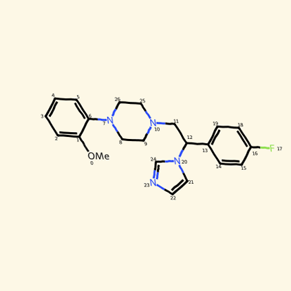 COc1ccccc1N1CCN(CC(c2ccc(F)cc2)n2ccnc2)CC1